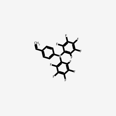 C=Cc1ccc(B(c2c(F)c(F)c(F)c(F)c2F)c2c(F)c(F)c(F)c(F)c2F)cc1